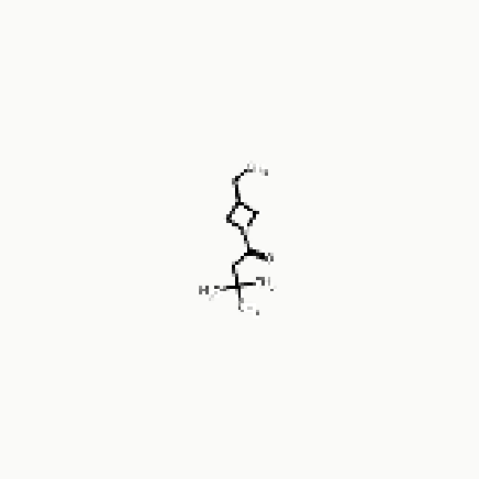 CCC1CN(C(=O)CC(C)(C)C)C1